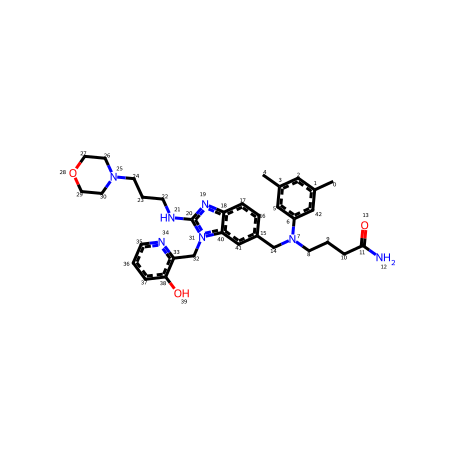 Cc1cc(C)cc(N(CCCC(N)=O)Cc2ccc3nc(NCCCN4CCOCC4)n(Cc4ncccc4O)c3c2)c1